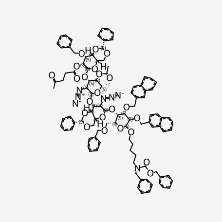 CC(=O)CCC(=O)O[C@H]1[C@H](O[C@H]2[C@H](N=[N+]=[N-])[C@H](O[C@@H]3[C@@H](N=[N+]=[N-])[C@@H](O[C@@H]4[C@H](OCc5ccc6ccccc6c5)[C@@H](OCc5ccc6ccccc6c5)[C@@H](OCCCCCN(Cc5ccccc5)C(=O)OCc5ccccc5)O[C@@H]4COCc4ccccc4)O[C@@H]4CO[C@H](c5ccccc5)O[C@H]34)O[C@@H](C)[C@H]2OC(C)=O)O[C@@H]2CO[C@@H](c3ccccc3)O[C@H]2[C@@H]1OCc1ccccc1